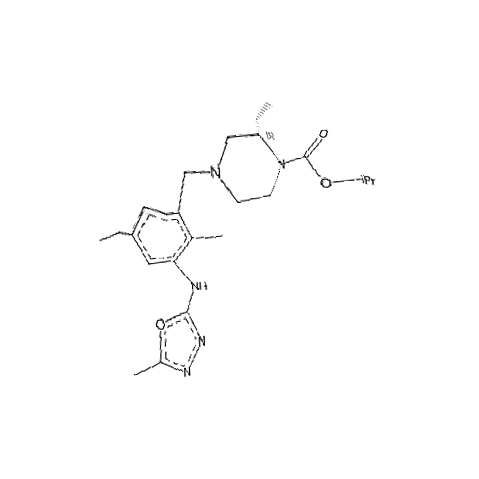 Cc1cc(CN2CCN(C(=O)OC(C)C)[C@@H](C)C2)c(C)c(Nc2nnc(C)o2)c1